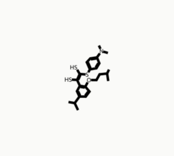 CC(C)CCOc1ccc(C(C)C)cc1/C(S)=C(/S)Sc1ccc(N(C)C)cc1